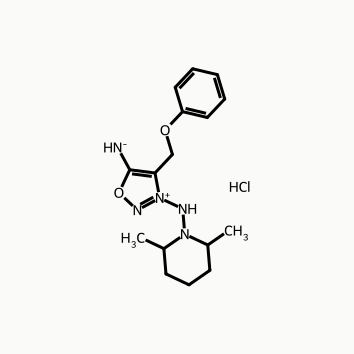 CC1CCCC(C)N1N[n+]1noc([NH-])c1COc1ccccc1.Cl